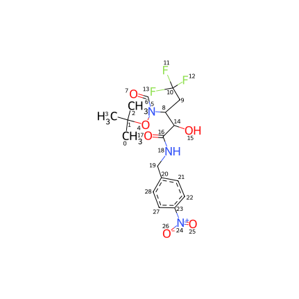 CC(C)(C)ON(C=O)C(CC(F)(F)F)C(O)C(=O)NCc1ccc([N+](=O)[O-])cc1